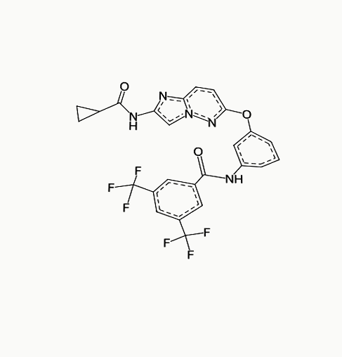 O=C(Nc1cccc(Oc2ccc3nc(NC(=O)C4CC4)cn3n2)c1)c1cc(C(F)(F)F)cc(C(F)(F)F)c1